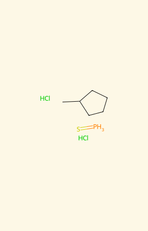 CC1CCCC1.Cl.Cl.[PH3]=S